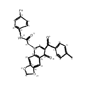 Cc1ccc(C(=O)c2cn(CC(=O)Nc3ccc(F)cc3)c3cc4c(cc3c2=O)OCO4)cc1